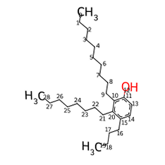 CCCCCCCCCCc1c(O)ccc(CCCC)c1CCCCCCCC